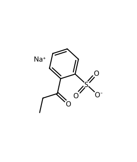 CCC(=O)c1ccccc1S(=O)(=O)[O-].[Na+]